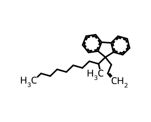 C=CCC1(C(C)CCCCCCCC)c2ccccc2-c2ccccc21